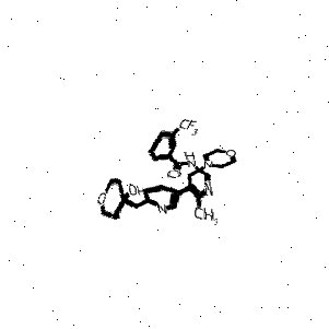 CC1=C(c2ccc(CC3(O)CCOCC3)nc2)CC(NC(=O)c2cccc(C(F)(F)F)c2)(N2CCOCC2)C=N1